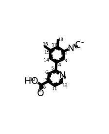 [C-]#[N+]c1cc(-c2cc(C(=O)O)ccn2)cc(C)c1C